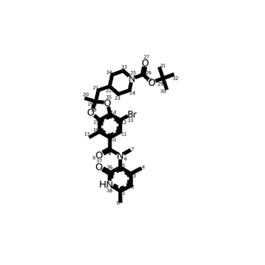 Cc1cc(C)c(N(C)C(=O)c2cc(Br)c3c(c2C)OC(C)(CC2CCN(C(=O)OC(C)(C)C)CC2)O3)c(=O)[nH]1